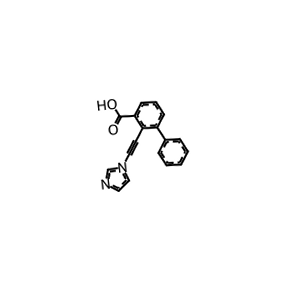 O=C(O)c1cccc(-c2ccccc2)c1C#Cn1ccnc1